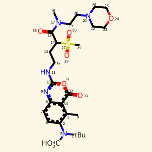 Cc1c(N(C(=O)O)C(C)(C)C)ccc2nc(NCCC(C(=O)N(C)CCN3CCOCC3)S(C)(=O)=O)oc(=O)c12